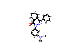 CCN(CC)c1cccc(-n2nc(-c3ccccc3)c3ccccc3c2=O)c1